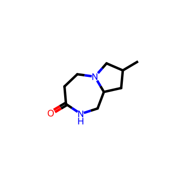 CC1CC2CNC(=O)CCN2C1